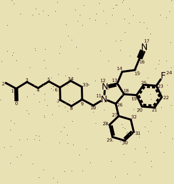 C=C(C)CCCC1CCC(CN2N=C(CCC#N)C(c3cccc(F)c3)C2C2C=CC=CC2)CC1